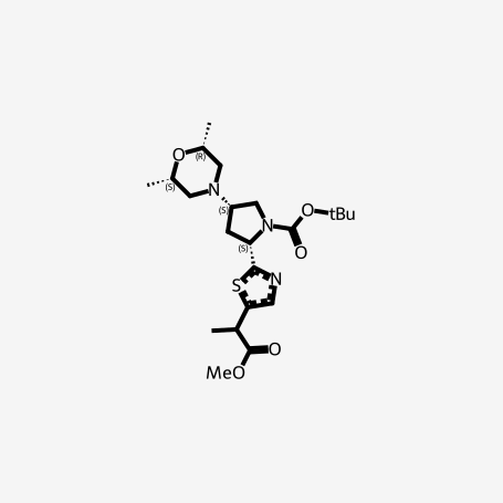 COC(=O)C(C)c1cnc([C@@H]2C[C@H](N3C[C@@H](C)O[C@@H](C)C3)CN2C(=O)OC(C)(C)C)s1